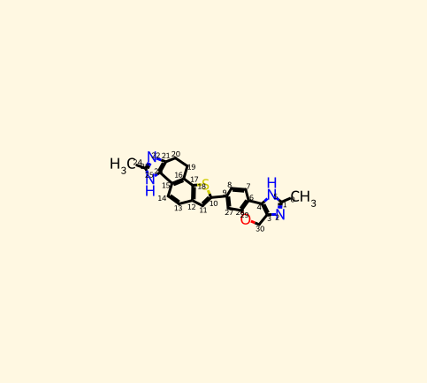 Cc1nc2c([nH]1)-c1ccc(-c3cc4ccc5c(c4s3)CCc3nc(C)[nH]c3-5)cc1OC2